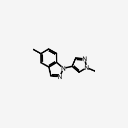 Cc1ccc2c(cnn2-c2cnn(C)c2)c1